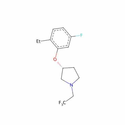 CCc1ccc(F)cc1O[C@@H]1CCN(CC(F)(F)F)C1